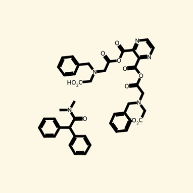 CN(C)C(=O)C(c1ccccc1)c1ccccc1.O=C(O)CN(CC(=O)OC(=O)c1nccnc1C(=O)OC(=O)CN(CC(=O)O)Cc1ccccc1)Cc1ccccc1